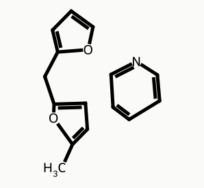 Cc1ccc(Cc2ccco2)o1.c1ccncc1